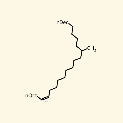 [CH2]C(CCCCCCCC/C=C\CCCCCCCC)CCCCCCCCCCCCCC